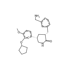 COc1ccc([C@H]2CNC(=O)[C@@H](Cc3cccc(CN)c3)C2)cc1OC1CCCC1